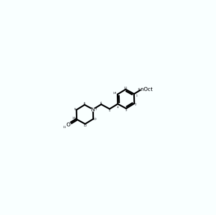 CCCCCCCCc1ccc(CCN2CCC(=O)CC2)cc1